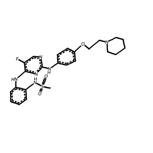 CS(=O)(=O)Nc1ccccc1Nc1nc(Nc2ccc(OCCN3CCCCC3)cc2)ncc1F